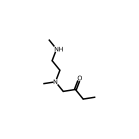 CCC(=O)CN(C)CCNC